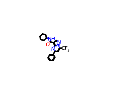 O=C(NC1CCCCC1)c1cnn2c(C(F)(F)F)cc(-c3ccccc3)nc12